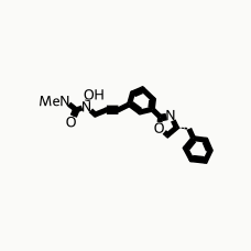 CNC(=O)N(O)CC#Cc1cccc(C2=N[C@H](Cc3ccccc3)CO2)c1